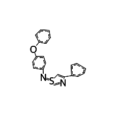 C1=NC(c2ccccc2)=CS1=Nc1ccc(Oc2ccccc2)cc1